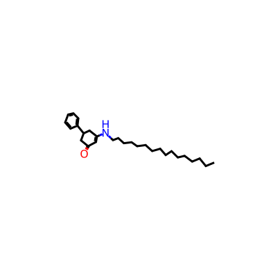 CCCCCCCCCCCCCCCCNC1=CC(=O)CC(c2ccccc2)C1